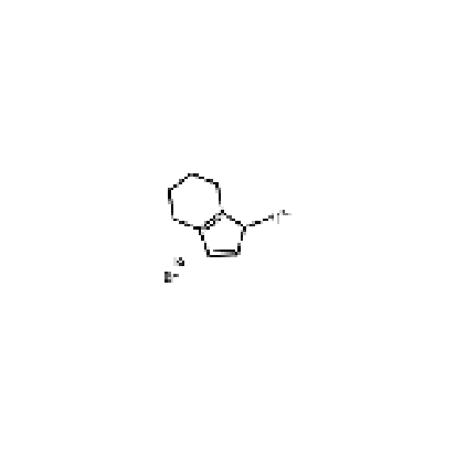 [Br-].[Br-].[Hf+2][CH]1C=CC2=C1CCCC2